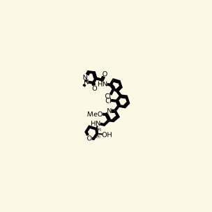 COc1nc(-c2cccc(-c3cccc(NC(=O)c4ccnn(C)c4=O)c3Cl)c2Cl)ccc1CN[C@@H]1CCOC[C@@H]1O